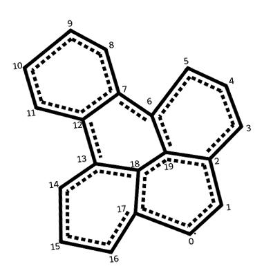 [c]1cc2cccc3c4ccccc4c4cccc1c4c23